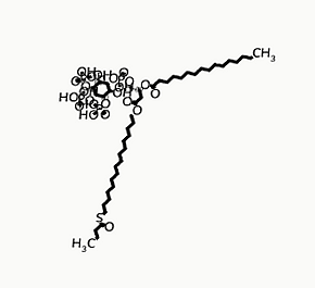 CCCCCCCCCCCCCCCC(=O)O[C@@H](COP(=O)(O)OC1C(O)[C@H](OP(=O)(O)O)C(OP(=O)(O)O)[C@H](OP(=O)(O)O)[C@@H]1O)CC(=O)OCCCCCCCCCCCCCCCCSC(=O)CCC